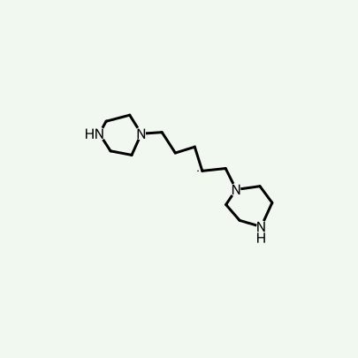 [CH](CCCN1CCNCC1)CN1CCNCC1